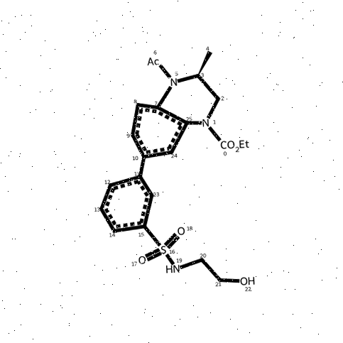 CCOC(=O)N1C[C@H](C)N(C(C)=O)c2ccc(-c3cccc(S(=O)(=O)NCCO)c3)cc21